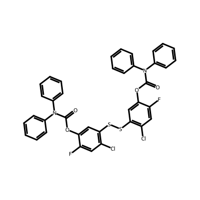 O=C(Oc1cc(SSc2cc(OC(=O)N(c3ccccc3)c3ccccc3)c(F)cc2Cl)c(Cl)cc1F)N(c1ccccc1)c1ccccc1